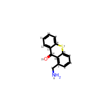 NCc1cccc2sc3ccccc3c(=O)c12